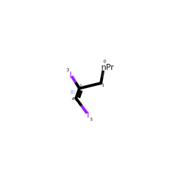 CCCC/C(I)=[C]\I